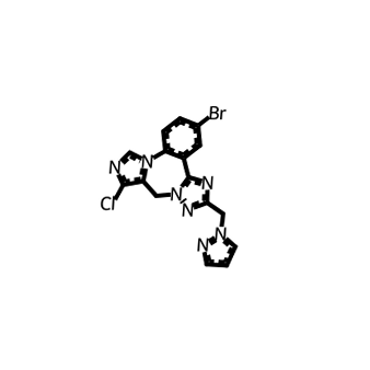 Clc1ncn2c1Cn1nc(Cn3cccn3)nc1-c1cc(Br)ccc1-2